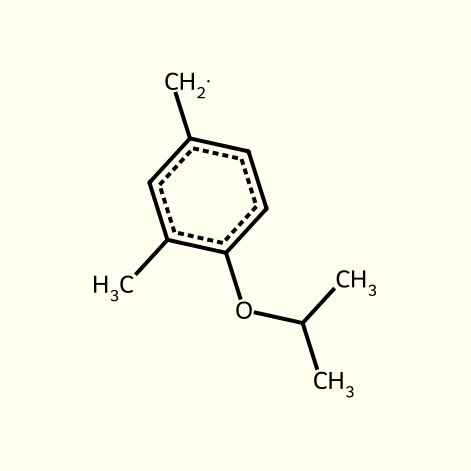 [CH2]c1ccc(OC(C)C)c(C)c1